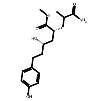 CNC(=O)[C@H](CC(C)C(N)=O)C[C@@H](O)[CH]Cc1ccc(O)cc1